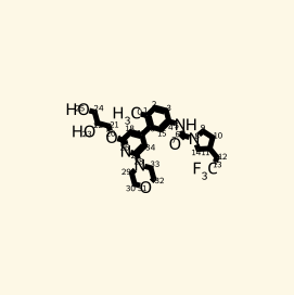 Cc1ccc(NC(=O)N2CCC(CC(F)(F)F)C2)cc1-c1cc(OC[C@@H](O)CO)nc(N2CCOCC2)c1